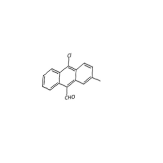 Cc1ccc2c(Cl)c3ccccc3c(C=O)c2c1